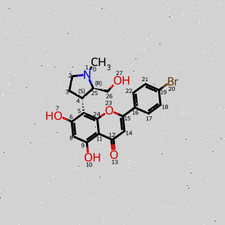 CN1CC[C@@H](c2c(O)cc(O)c3c(=O)cc(-c4ccc(Br)cc4)oc23)[C@@H]1CO